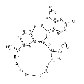 C=C1NSCCCC/C=C/C2CC(C)C2CN2CC(c3ccc(Cl)cc3CC)CCc3ccc1cc32